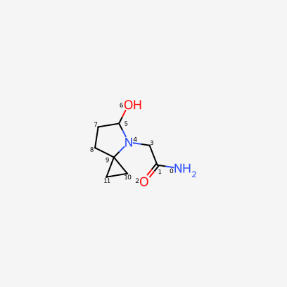 NC(=O)CN1C(O)CCC12CC2